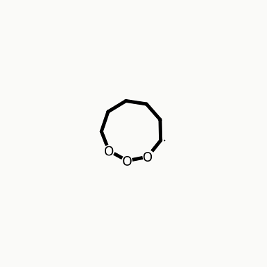 [CH]1CCCCCOOO1